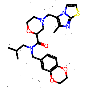 Cc1nc2sccn2c1CN1CCOC(C(=O)N(Cc2ccc3c(c2)OCCO3)CC(C)C)C1